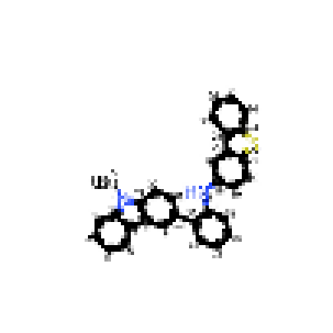 CC(C)(C)n1c2ccccc2c2cc(-c3ccccc3Nc3ccc4sc5ccccc5c4c3)ccc21